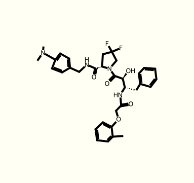 Cc1ccccc1OCC(=O)N[C@@H](Cc1ccccc1)[C@H](O)C(=O)N1CC(F)(F)C[C@H]1C(=O)NCc1ccc(N(C)C)cc1